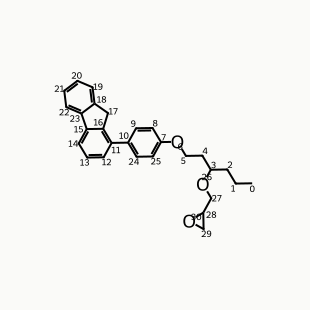 CCCC(CCOc1ccc(-c2cccc3c2Cc2ccccc2-3)cc1)OCC1CO1